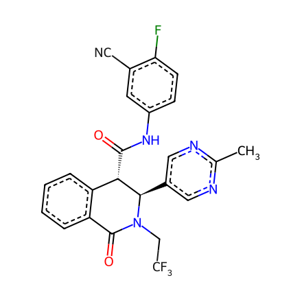 Cc1ncc([C@@H]2[C@@H](C(=O)Nc3ccc(F)c(C#N)c3)c3ccccc3C(=O)N2CC(F)(F)F)cn1